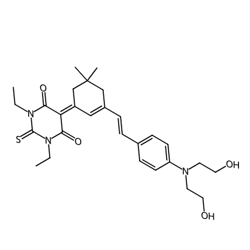 CCN1C(=O)C(=C2C=C(C=Cc3ccc(N(CCO)CCO)cc3)CC(C)(C)C2)C(=O)N(CC)C1=S